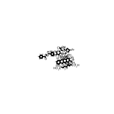 CCC[C@@H]1C[C@@H](C(=O)NC(C(C)Cl)[C@H]2O[C@H](SC)[C@H](O)[C@@H](O)[C@H]2O)N(C)C1.C[C@H]1c2cccc(O)c2C(=O)C2=C(O)[C@]3(O)C(=O)C(C(N)=O)=C(O)[C@@H](N(C)C)[C@@H]3[C@@H](O)[C@@H]21.O.O=C(O)CCCCCCCC(=O)O.O=C(OOC(=O)c1ccccc1)c1ccccc1